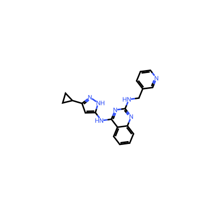 c1cncc(CNc2nc(Nc3cc(C4CC4)n[nH]3)c3ccccc3n2)c1